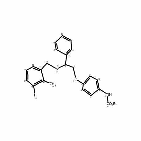 CCOC(=O)Nc1ccc(OCC(NCc2cccc(F)c2C)c2ccccc2)cc1